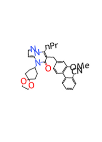 CCCc1c(Cc2ccc(-c3ccccc3C#N)c(OC)c2)c(=O)n(C2CCC3(CC2)OCCO3)c2ccnn12